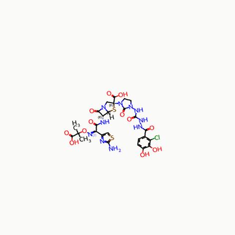 CC(C)(O/N=C(\C(=O)N[C@@H]1C(=O)N2C[C@@](C(=O)O)(N3CCN(NC(=O)NNC(=O)c4ccc(O)c(O)c4Cl)C3=O)S[C@H]12)c1csc(N)n1)C(=O)O